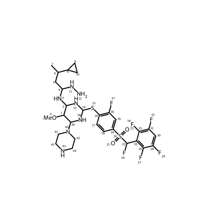 COC1C(NC(CC(C)C2CC2)NN)NC(Sc2ccc(S(=O)(=O)C(F)c3c(F)c(F)cc(F)c3F)cc2F)NC1N1CCNCC1